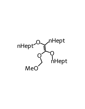 CCCCCCCOC(CCCCCCC)=C(OCCCCCCC)OCOC